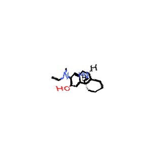 CCN(C)c1cc2c(cc1O)[C@]13CCCC[C@@H]1[C@H](C2)NCC3